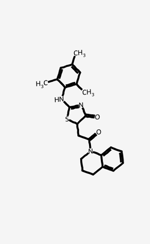 Cc1cc(C)c(NC2=NC(=O)C(CC(=O)N3CCCc4ccccc43)S2)c(C)c1